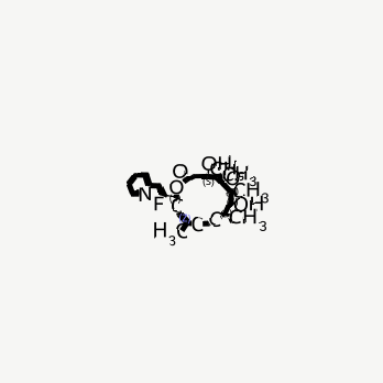 C/C1=C/C[C@@H](C(F)=Cc2ccccn2)OC(=O)C[C@H](O)C(C)(C)C(=O)[C@H](C)[C@@H](O)[C@@H](C)CCC1